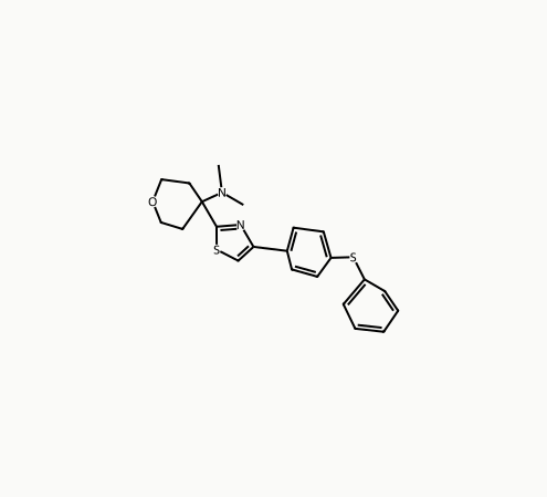 CN(C)C1(c2nc(-c3ccc(Sc4ccccc4)cc3)cs2)CCOCC1